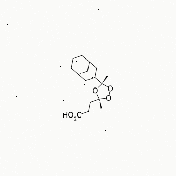 C[C@]1(CCC(=O)O)OO[C@@](C)(C2CC3CCCC(C3)C2)O1